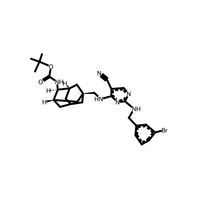 CC(C)(C)OC(=O)N[C@H]1[C@@H]2CC3C[C@H]1C[C@@](CNc1nc(NCc4cccc(Br)c4)ncc1C#N)(C3)C2